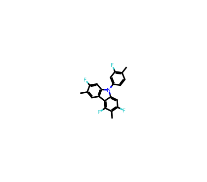 Cc1ccc(-n2c3cc(F)c(C)cc3c3c(F)c(C)c(F)cc32)cc1F